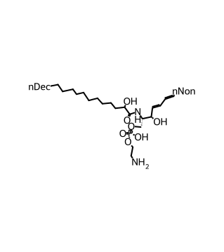 CCCCCCCCC/C=C/C=C/[C@@H](O)[C@H](COP(=O)(O)OCCN)NC(=O)C(O)CCCCCCCCCCCCCCCCCCCC